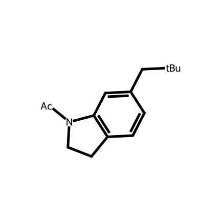 CC(=O)N1CCc2ccc(CC(C)(C)C)cc21